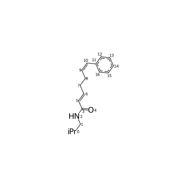 CC(C)CNC(=O)/C=C/CC/C=C\c1ccccc1